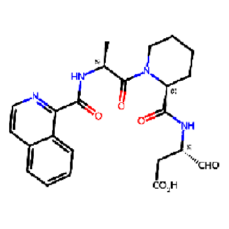 C[C@H](NC(=O)c1nccc2ccccc12)C(=O)N1CCCC[C@H]1C(=O)N[C@H](C=O)CC(=O)O